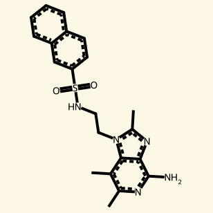 Cc1nc(N)c2nc(C)n(CCNS(=O)(=O)c3ccc4ccccc4c3)c2c1C